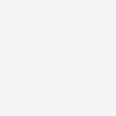 CC(=NOCc1ccc(C(F)(F)F)cc1)c1ccc(OCc2cc(CN3CCOCC3)on2)cc1